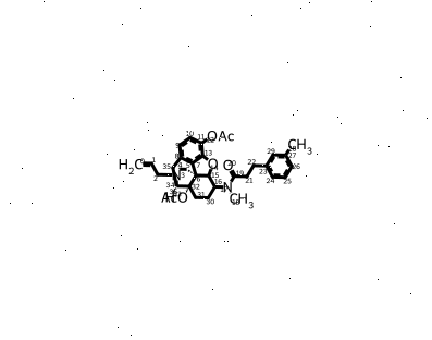 C=CCN1CC[C@]23c4c5ccc(OC(C)=O)c4OC2C(N(C)C(=O)CCc2cccc(C)c2)CC[C@@]3(OC(C)=O)[C@H]1C5